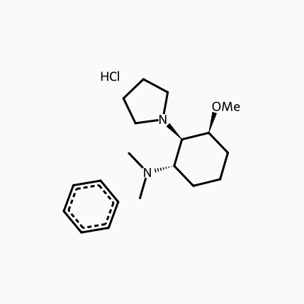 CO[C@H]1CCC[C@H](N(C)C)[C@H]1N1CCCC1.Cl.c1ccccc1